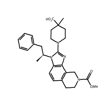 COC(=O)N1CCc2ccc3c(nc(N4CCC(C)(C(=O)O)CC4)n3[C@@H](C)Cc3ccccc3)c2C1